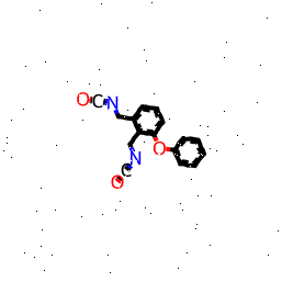 O=C=NCc1cccc(Oc2ccccc2)c1CN=C=O